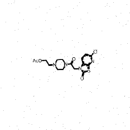 CC(=O)OCCN1CCN(C(=O)Cn2c(=O)sc3nc(Cl)ccc32)CC1